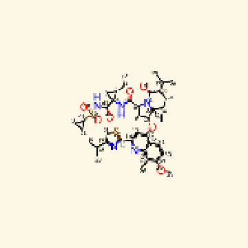 CC[C@@H]1CC1(NC(=O)[C@@H]1C[C@@H](Oc2cc(-c3nc(C(C)C)cs3)nc3c(C)c(OC)ccc23)[C@H]2CC[C@H](C(C)C)C(=O)N21)C(=O)NS(=O)(=O)C1CC1